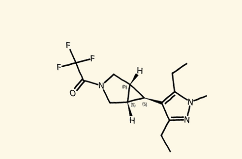 CCc1nn(C)c(CC)c1[C@H]1[C@@H]2CN(C(=O)C(F)(F)F)C[C@@H]21